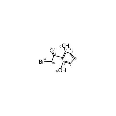 Cc1cccc(O)c1C(=O)CBr